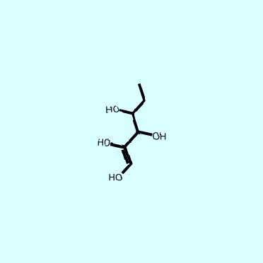 CCC(O)C(O)C(O)=CO